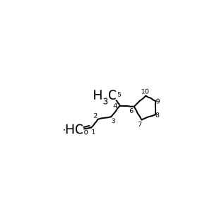 [CH]=CCCC(C)C1CCCC1